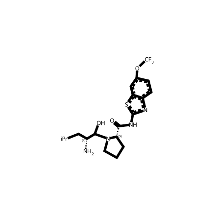 CC(C)C[C@@H](N)C(O)N1CCC[C@H]1C(=O)Nc1nc2ccc(OC(F)(F)F)cc2s1